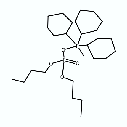 CCCCOP(=O)(OCCCC)OP(C)(C1CCCCC1)(C1CCCCC1)C1CCCCC1